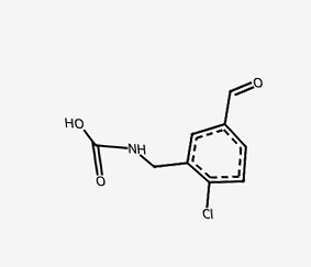 O=Cc1ccc(Cl)c(CNC(=O)O)c1